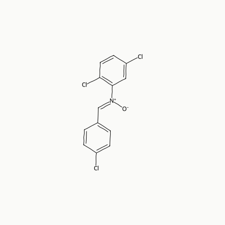 [O-][N+](=Cc1ccc(Cl)cc1)c1cc(Cl)ccc1Cl